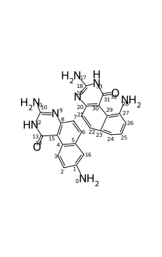 Nc1ccc2c(ccc3nc(N)[nH]c(=O)c32)c1.Nc1nc2ccc3cccc(N)c3c2c(=O)[nH]1